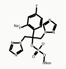 CCCCCCCCCOP(=O)([O-])OC(Cn1cncn1)(Cn1cncn1)c1ccc(F)cc1F.[Na+]